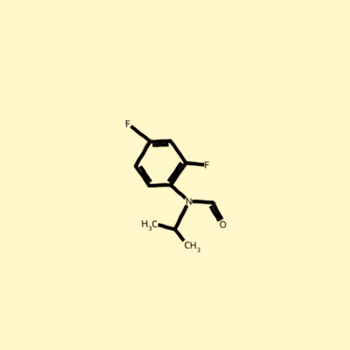 CC(C)N([C]=O)c1ccc(F)cc1F